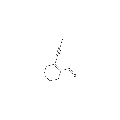 CC#CC1=C(C=O)CCCC1